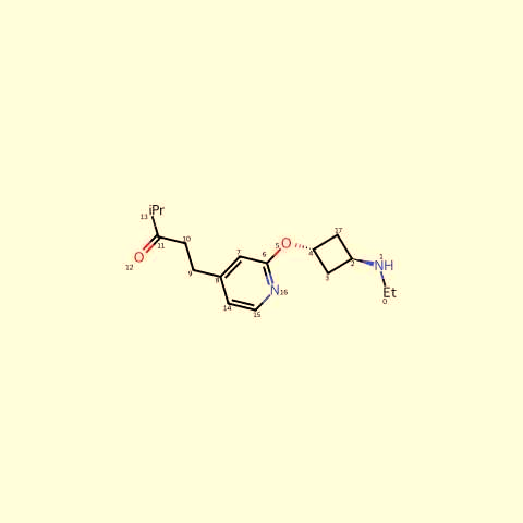 CCN[C@H]1C[C@H](Oc2cc(CCC(=O)C(C)C)ccn2)C1